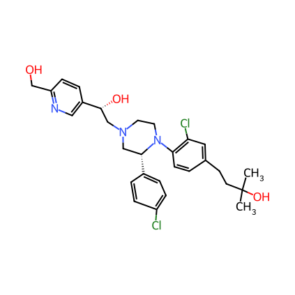 CC(C)(O)CCc1ccc(N2CCN(C[C@@H](O)c3ccc(CO)nc3)C[C@H]2c2ccc(Cl)cc2)c(Cl)c1